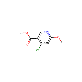 COC(=O)c1cnc(OC)cc1Cl